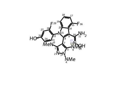 CNc1nn(NC)c(NC)c1-c1c(/C(N)=N/O)c2c(F)cccc2n1-c1ccc(O)cc1F